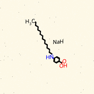 CCCCCCCCCCCCCCCCNc1ccc(C(=O)O)cc1.[NaH]